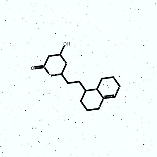 O=C1CC(O)CC(CCC2CCCC3=CCCCC32)O1